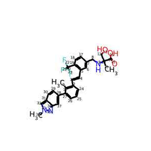 Cc1c(/C=C/c2cc(CNC(C)(CO)C(=O)O)ccc2C(F)(F)F)cccc1-c1ccc2cn(C)nc2c1